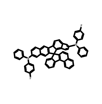 Fc1ccc(N(c2ccccc2)c2ccc3cc4c(cc3c2)C2(c3ccccc3-c3c2ccc2ccccc32)c2c-4ccc3cc(N(c4ccccc4)c4ccc(F)cc4)ccc23)cc1